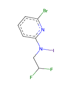 FC(F)CN(I)c1cccc(Br)n1